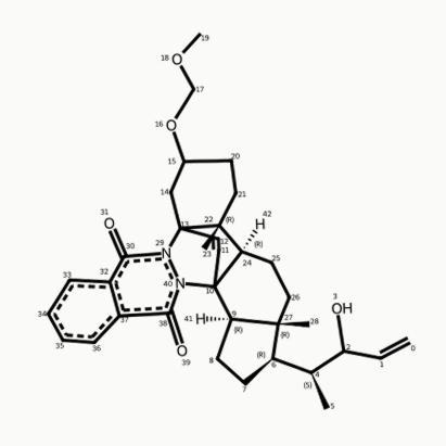 C=CC(O)[C@@H](C)[C@H]1CC[C@H]2C34C=CC5(CC(OCOC)CC[C@]5(C)[C@H]3CC[C@]12C)n1c(=O)c2ccccc2c(=O)n14